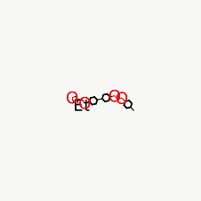 CCC1(COc2ccc(-c3ccc(OCOc4ccc(C)cc4)cc3)cc2)COC1